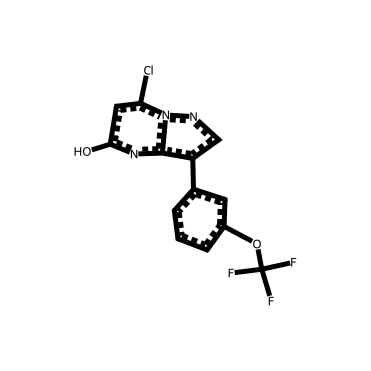 Oc1cc(Cl)n2ncc(-c3cccc(OC(F)(F)F)c3)c2n1